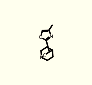 Cc1coc(C2CN3CCC2CC3)n1